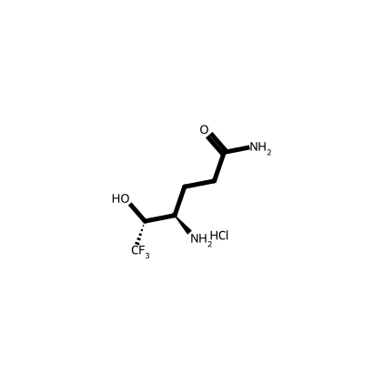 Cl.NC(=O)CC[C@@H](N)[C@@H](O)C(F)(F)F